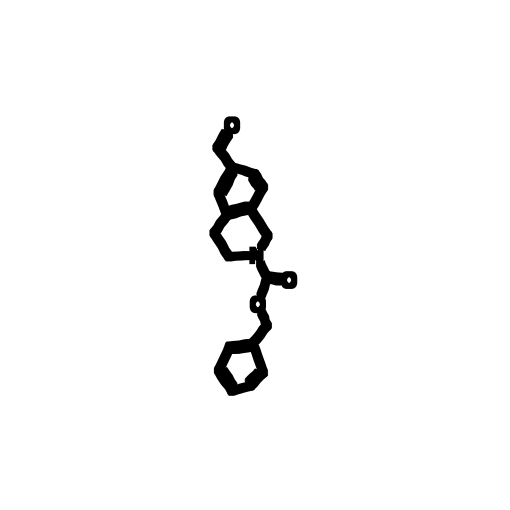 O=Cc1ccc2c(c1)CCN(C(=O)OCc1ccccc1)C2